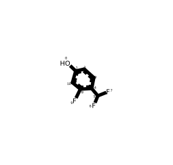 Oc1ccc(C(F)F)c(F)c1